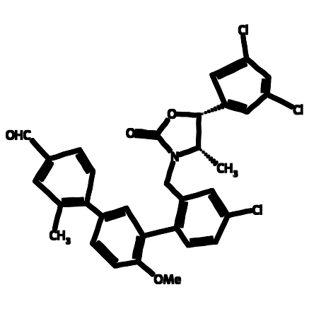 COc1ccc(-c2ccc(C=O)cc2C)cc1-c1ccc(Cl)cc1CN1C(=O)O[C@H](c2cc(Cl)cc(Cl)c2)[C@@H]1C